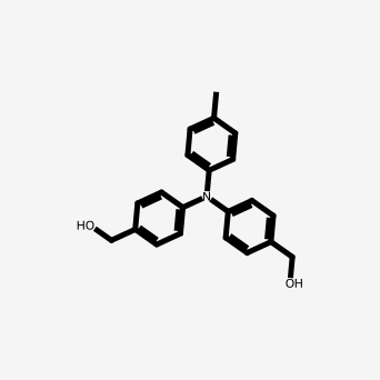 Cc1ccc(N(c2ccc(CO)cc2)c2ccc(CO)cc2)cc1